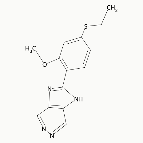 CCSc1ccc(-c2nc3cnncc3[nH]2)c(OC)c1